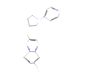 Brc1ccc2nc(O[C@@H]3CCN(c4ccncc4)C3)cnc2c1